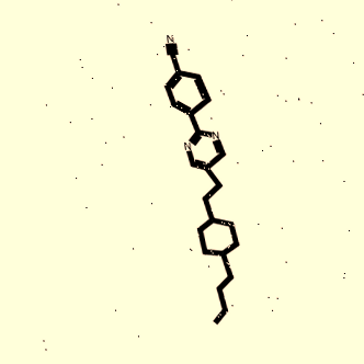 CCCCC1CCC(CCc2cnc(-c3ccc(C#N)cc3)nc2)CC1